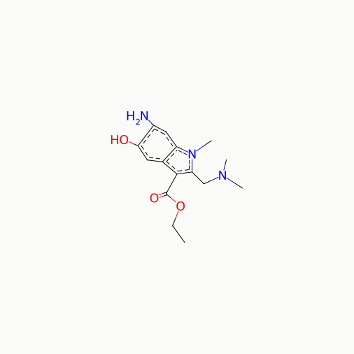 CCOC(=O)c1c(CN(C)C)n(C)c2cc(N)c(O)cc12